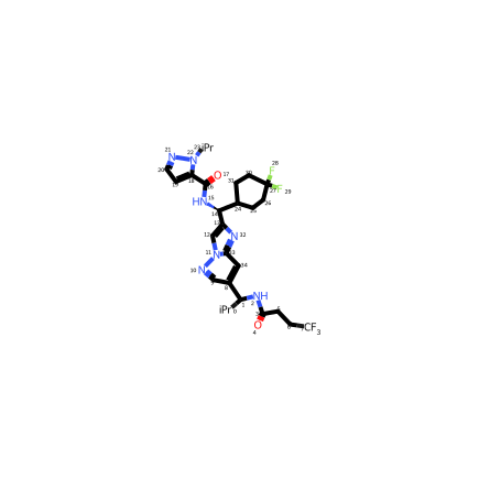 CC(C)C(NC(=O)CCC(F)(F)F)c1cnn2cc([C@@H](NC(=O)c3ccnn3C(C)C)C3CCC(F)(F)CC3)nc2c1